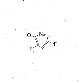 [O]c1ncc(F)cc1F